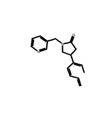 C=C/C=C\C(=C/C)C1CC(=O)N(Cc2cccnc2)C1